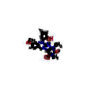 COc1ccc(Cn2c(N[C@@H]3CCC[C@@H]3O)nc3c2c(=O)n(C)c(=O)n3C)cc1